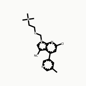 Cc1cncc(-c2cc(Cl)nc3c2c(C#N)cn3COCCS(C)(C)C)c1